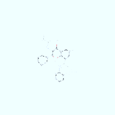 Cc1cc([C@@H](C)Nc2ccccc2C(=O)O)c2oc(-c3ccccc3)c(NCCC(=O)O)c(=O)c2c1